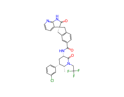 C[C@@H]1[C@H](c2cccc(Cl)c2)C[C@H](NC(=O)c2ccc3c(c2)C[C@@]2(C3)C(=O)Nc3ncccc32)C(=O)N1CC(F)(F)F